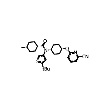 CC(C)(C)c1cc(N(C(=O)[C@H]2CC[C@H](C)CC2)[C@H]2CC[C@H](Oc3cccc(C#N)n3)CC2)cs1